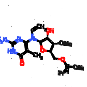 C=CN(c1nc(N)[nH]c(=O)c1C)[C@@H]1O[C@H](CO[SiH](OC)C(C)C)[C@@H](OC)[C@H]1O